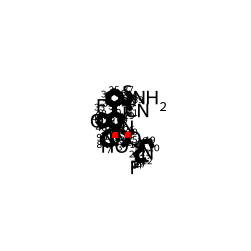 CC(CO)CN1CC2CC(C1)N2c1nc(OC[C@@]23CCCN2C[C@H](F)C3)nc2c(F)c(-c3c(F)ccc4sc(N)c(C#N)c34)c3c(c12)COC3